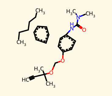 C#CC(C)(C)OCOc1ccc(NC(=O)N(C)C)cc1.CCCCCC.c1ccccc1